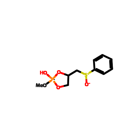 CO[P]1(O)OCC(C[S+]([O-])c2ccccc2)O1